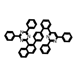 c1ccc(-c2cc(-c3ccccc3-c3ccc(-c4ccc5ccccc5c4-c4nc(-c5ccccc5)nc(-c5ccccc5)n4)cc3)nc(-c3ccccc3)n2)cc1